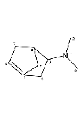 CN(C)C1CC2=CCC1C2